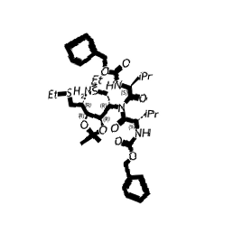 CCSC[C@H](N)[C@H]1OC(C)(C)O[C@@H]1[C@H](CSCC)N(C(=O)[C@@H](NC(=O)OCc1ccccc1)C(C)C)C(=O)[C@@H](NC(=O)OCc1ccccc1)C(C)C